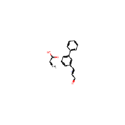 C=CC(=O)O.O=C/C=C/c1cccc(-c2ccccc2)c1